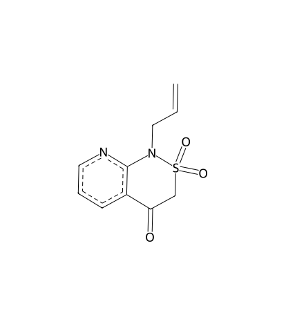 C=CCN1c2ncccc2C(=O)CS1(=O)=O